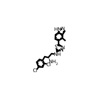 Cc1c(-c2nnc(NC[C@H](N)Cc3ccc(Cl)cc3Cl)s2)ccc2[nH]ncc12